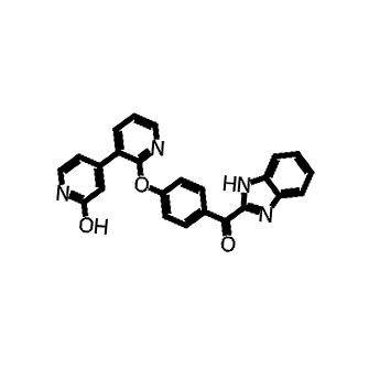 O=C(c1ccc(Oc2ncccc2-c2ccnc(O)c2)cc1)c1nc2ccccc2[nH]1